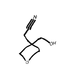 N#CCC1(CO)COC1